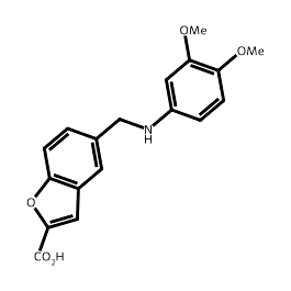 COc1ccc(NCc2ccc3oc(C(=O)O)cc3c2)cc1OC